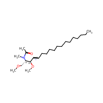 CCCCCCCCCCCCC/C=C/[C@@H](OC)[C@H](COC)N(C)C(C)=O